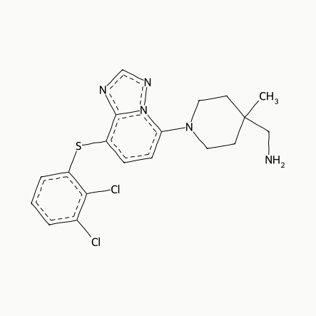 CC1(CN)CCN(c2ccc(Sc3cccc(Cl)c3Cl)c3ncnn23)CC1